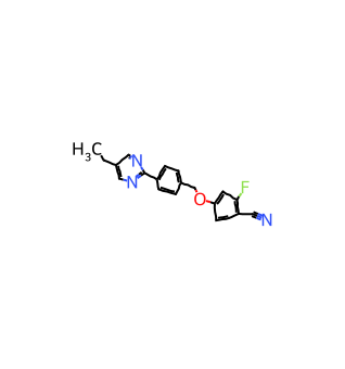 CCc1cnc(-c2ccc(COc3ccc(C#N)c(F)c3)cc2)nc1